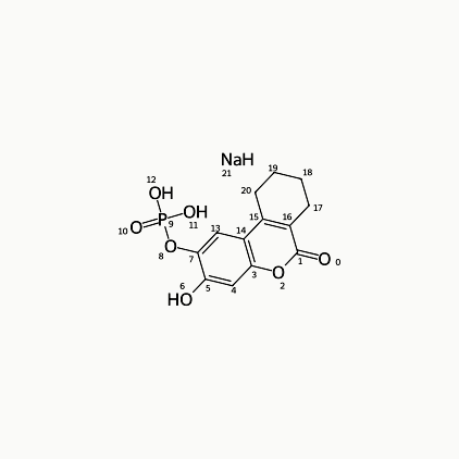 O=c1oc2cc(O)c(OP(=O)(O)O)cc2c2c1CCCC2.[NaH]